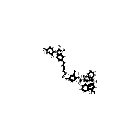 CN(CCCCCc1ccc2c(c1)n(C)c(=O)n2C1CCC(=O)NC1=O)Cc1ccc(NC(=O)[C@@H]2NC3(CCCCC3)[C@@]3(C(=O)Nc4cc(Cl)ccc43)[C@H]2c2cccc(Cl)c2F)c(F)c1